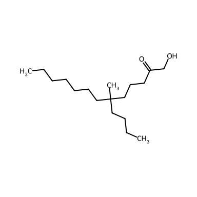 CCCCCCCC(C)(CCCC)CCCC(=O)CO